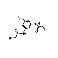 O=C(CBr)Nc1cc(NC(=O)CBr)cc(C(F)(F)F)c1